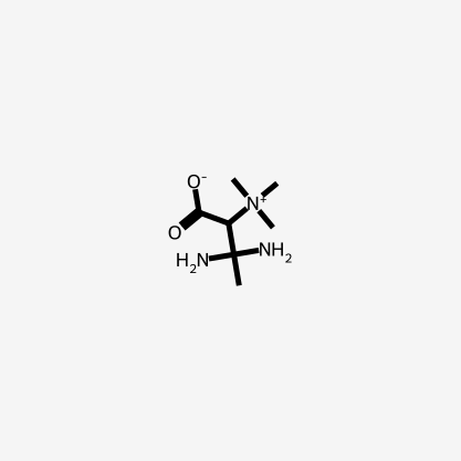 CC(N)(N)C(C(=O)[O-])[N+](C)(C)C